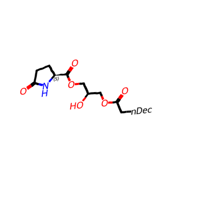 CCCCCCCCCCCC(=O)OCC(O)COC(=O)[C@@H]1CCC(=O)N1